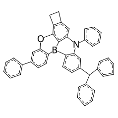 c1ccc(-c2ccc3c(c2)Oc2c4c(cc5c2B3c2ccc(C(c3ccccc3)c3ccccc3)cc2N5c2ccccc2)CC4)cc1